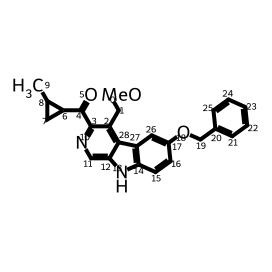 COCc1c(C(=O)C2CC2C)ncc2[nH]c3ccc(OCc4ccccc4)cc3c12